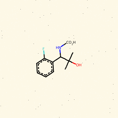 CC(C)(O)C(NC(=O)O)c1ccccc1F